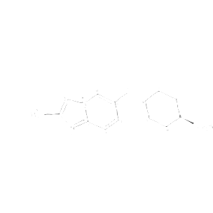 Cc1nc2ccc(C[C@H]3CC[C@H](C(=O)O)CC3)cn2n1